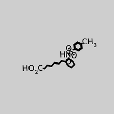 Cc1ccc(S(=O)(=O)NC2C3CCC(O3)C2CC=CCCCC(=O)O)cc1